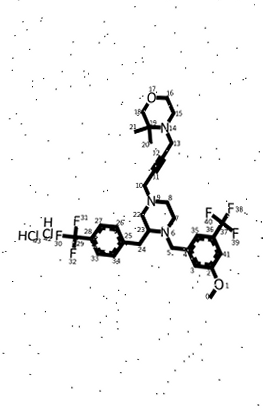 COc1cc(CN2CCN(CC#CCN3CCOCC3(C)C)CC2Cc2ccc(C(F)(F)F)cc2)cc(C(F)(F)F)c1.Cl.Cl